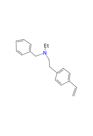 C=Cc1ccc(CCN(CC)Cc2ccccc2)cc1